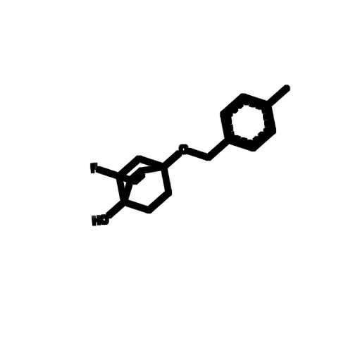 Cc1ccc(COC23C=C(F)C(O)(CC2)CC3)cc1